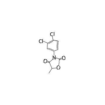 CC1OC(=O)N(c2ccc(Cl)c(Cl)c2)C1=O